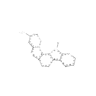 CCCc1ccc2c(c1)sc1ccc3c4ccccc4n(C)c3c12